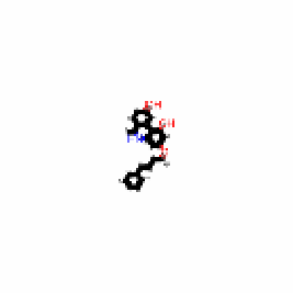 CC1Nc2cc(O[C@H](C)CCCc3ccccc3)cc(O)c2C2CC(O)CCC12